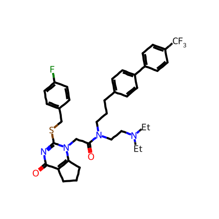 CCN(CC)CCN(CCCc1ccc(-c2ccc(C(F)(F)F)cc2)cc1)C(=O)Cn1c(SCc2ccc(F)cc2)nc(=O)c2c1CCC2